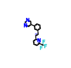 FC(F)(F)c1cccc(/C=C/c2cccc(-c3cncnc3)c2)n1